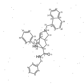 O=C(NCc1ccccc1)C12CC3CN(Cc4cccc5ccccc45)C(C3CN1)C2Cc1ccccc1